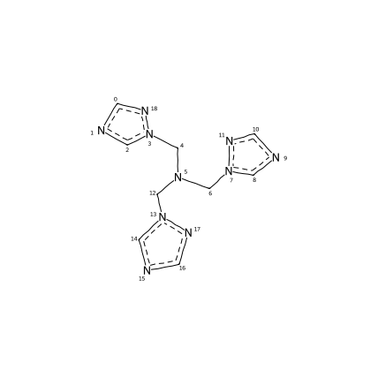 c1ncn(CN(Cn2cncn2)Cn2cncn2)n1